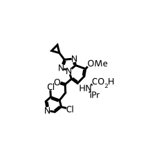 CC(C)NC(=O)O.COc1ccc(C(=O)Cc2c(Cl)cncc2Cl)n2nc(C3CC3)nc12